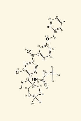 CCC(c1ccc([S+]([O-])c2cccc(OCc3ccccc3)c2)cc1Cl)C1(NC(=O)OC(C)(C)C)COC(C)(C)OC1